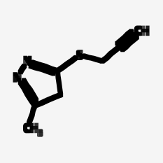 C#CCSC1=NN=C(C)C1